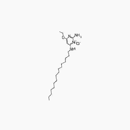 CCCCCCCCCCCCCCCCNc1cc(OCC)nc(N)[n+]1[O-]